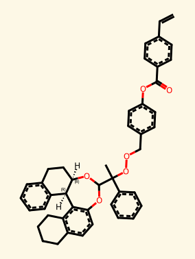 C=Cc1ccc(C(=O)Oc2ccc(COOC(C)(c3ccccc3)C3Oc4ccc5c(c4[C@H]4c6ccccc6CC[C@H]4O3)CCCC5)cc2)cc1